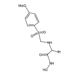 COc1ccc(S(=O)(=O)CNC(C(=O)NO)C(C)C)cc1